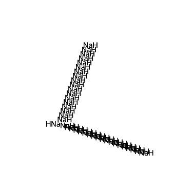 [NaH].[NaH].[NaH].[NaH].[NaH].[NaH].[NaH].[NaH].[NaH].[NaH].[NaH].[NaH].[NaH].[NaH].[NaH].[NaH].[NaH].[NaH].[NaH].[NaH].[NaH].[NaH].[NaH].[NaH].[NaH].[NaH].[NaH].[NaH].[NaH].[NaH].[NaH].[NaH].[NaH].[NaH].[NaH].[NaH].[NaH].[NaH]